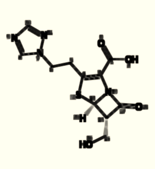 O=C(O)C1=C(CCn2cncn2)S[C@@H]2[C@@H](CO)C(=O)N12